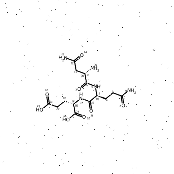 NC(=O)CC[C@H](NC(=O)[C@@H](N)CC(N)=O)C(=O)N[C@@H](CCC(=O)O)C(=O)O